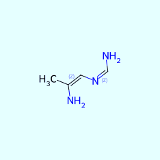 C/C(N)=C/N=C\N